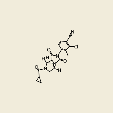 Cc1c(N2C(=O)[C@@H]3[C@@H]4C[C@@H](CN4C(=O)C4CC4)N3C2=O)ccc(C#N)c1Cl